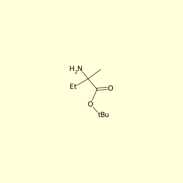 CCC(C)(N)C(=O)OC(C)(C)C